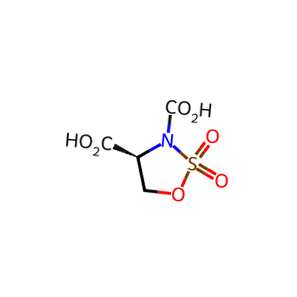 O=C(O)[C@@H]1COS(=O)(=O)N1C(=O)O